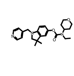 CCN(C(=O)Oc1ccc2c(c1)C(C)(C)CN2Cc1ccncc1)C1CCOCC1